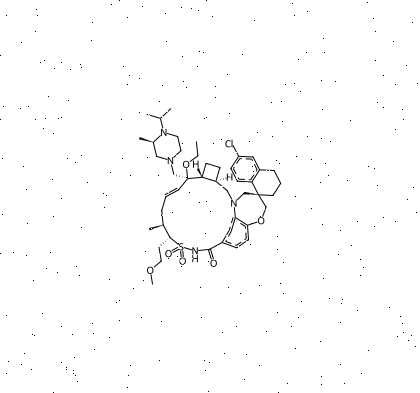 CCO[C@]1(CN2CCN(C(C)C)[C@H](C)C2)/C=C/C[C@H](C)[C@@H](CCOC)S(=O)(=O)NC(=O)c2ccc3c(c2)N(C[C@@H]2CC[C@H]21)C[C@@]1(CCCc2cc(Cl)ccc21)CO3